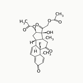 CC(=O)OCC(=O)[C@@]1(O)[C@H](OC(C)=O)C[C@H]2[C@@H]3C=CC4=CC(=O)C=C[C@]4(C)[C@@]3(F)C(=O)C[C@@]21C